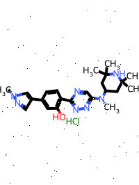 CN(c1cnc(-c2ccc(-c3cnn(C)c3)cc2O)nn1)C1CC(C)(C)NC(C)(C)C1.Cl